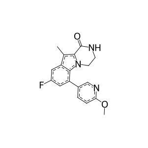 COc1ccc(-c2cc(F)cc3c(C)c4n(c23)CCNC4=O)cn1